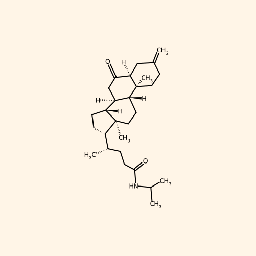 C=C1CC[C@]2(C)[C@H](C1)C(=O)C[C@H]1[C@H]2CC[C@]2(C)[C@@H]1CC[C@H]2[C@@H](C)CCC(=O)NC(C)C